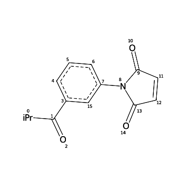 CC(C)C(=O)c1cccc(N2C(=O)C=CC2=O)c1